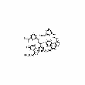 CCNc1cccc(CCCc2noc(CC(CC(=O)O)c3cccc(F)c3)n2)n1.CNc1cccc(CCCc2noc(CC(CC(=O)O)c3cccc(F)c3)n2)n1